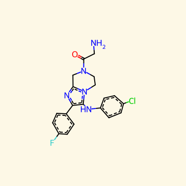 NCC(=O)N1CCn2c(nc(-c3ccc(F)cc3)c2Nc2ccc(Cl)cc2)C1